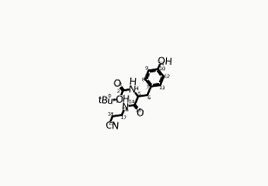 CC(C)(C)OC(=O)NC(Cc1ccc(O)cc1)C(=O)NCCC#N